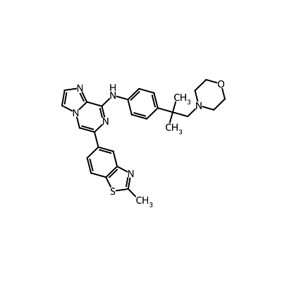 Cc1nc2cc(-c3cn4ccnc4c(Nc4ccc(C(C)(C)CN5CCOCC5)cc4)n3)ccc2s1